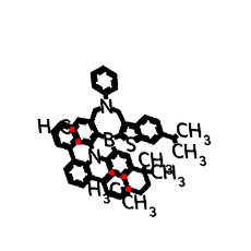 Cc1cc2c3c(c1)N(c1c(C4=CCCC=C4)cccc1-c1ccccc1)c1cc4c(cc1B3c1sc3cc(C(C)C)ccc3c1CN(c1ccccc1)C2)C(C)(C)CCC4(C)C